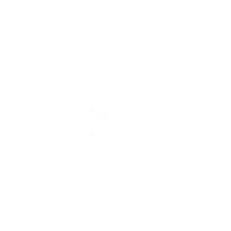 C=CCOC(C)(C)N(C(C)C)P(O)(O)(O)Cl